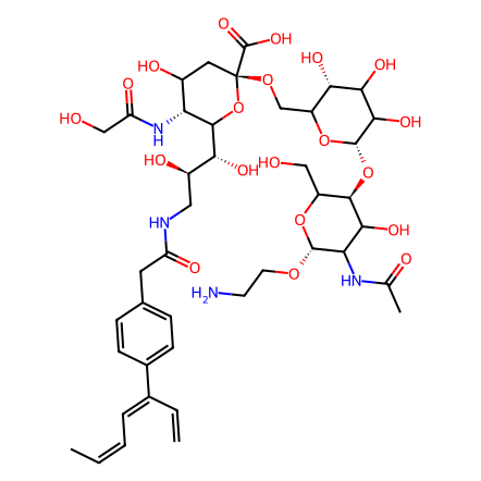 C=C/C(=C\C=C/C)c1ccc(CC(=O)NC[C@@H](O)[C@@H](O)C2O[C@@](OCC3O[C@@H](O[C@@H]4C(CO)O[C@@H](OCCN)C(NC(C)=O)C4O)C(O)C(O)[C@H]3O)(C(=O)O)CC(O)[C@H]2NC(=O)CO)cc1